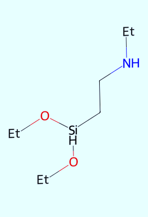 CCNCC[SiH](OCC)OCC